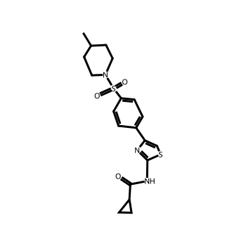 CC1CCN(S(=O)(=O)c2ccc(-c3csc(NC(=O)C4CC4)n3)cc2)CC1